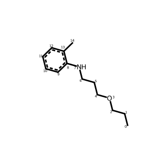 CCCOCCCNc1ccccc1C